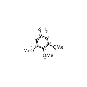 COc1cc([SiH3])cc(OC)c1OC